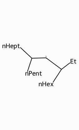 CCCCCCCC([CH]C(CC)CCCCCC)CCCCC